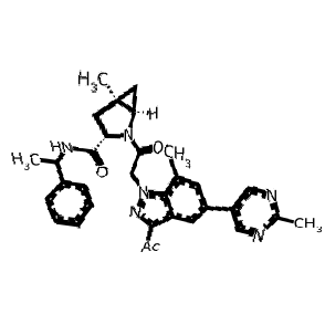 CC(=O)c1nn(CC(=O)N2[C@H](C(=O)NC(C)c3ccccc3)C[C@@]3(C)C[C@@H]23)c2c(C)cc(-c3cnc(C)nc3)cc12